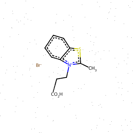 Cc1sc2ccccc2[n+]1CCC(=O)O.[Br-]